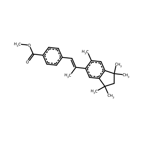 COC(=O)c1ccc(C=C(C)c2cc3c(cc2C)C(C)(C)CC3(C)C)cc1